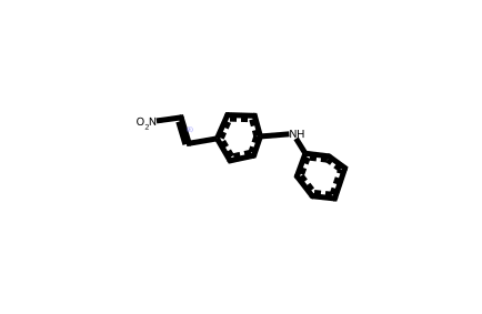 O=[N+]([O-])/C=C/c1ccc(Nc2ccccc2)cc1